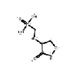 O=C1NOCC1NCP(=O)(O)O